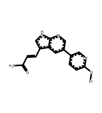 CCOc1ccc(-c2cnc3[nH]cc(/C=C/C(N)=O)c3c2)cn1